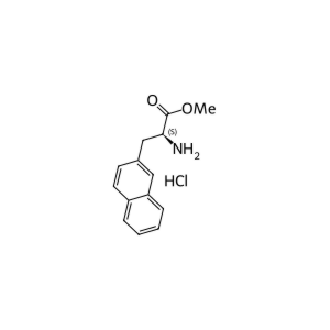 COC(=O)[C@@H](N)Cc1ccc2ccccc2c1.Cl